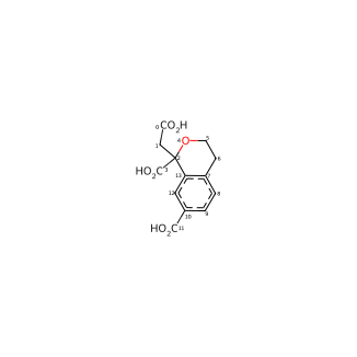 O=C(O)CC1(C(=O)O)OCCc2ccc(C(=O)O)cc21